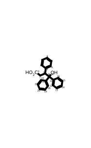 O=C(O)CC(c1ccccc1)C(O)(c1ccccc1)c1ccccc1